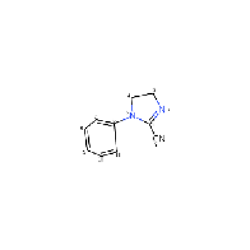 N#CC1=NCCN1c1ccccc1